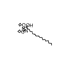 CCCCCCCCCCCCCCCCc1nc(OC2CCC2)nc(OC2CCC2)c1O